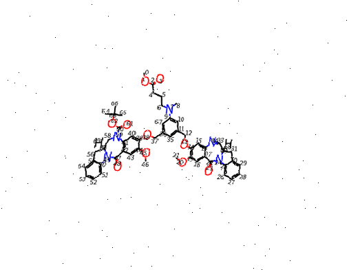 COC(=O)CCCN(C)c1cc(COc2cc3c(cc2OC)C(=O)N2c4ccccc4C[C@H]2C=N3)cc(COc2cc3c(cc2OC)C(=O)N2c4ccccc4C[C@H]2CN3C(=O)OC(C)(C)C)c1